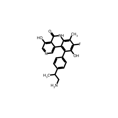 Cc1c(F)c(O)c(-c2ccc(C(C)CN)cc2)c2c1[nH]c(=O)c1c(O)cncc12